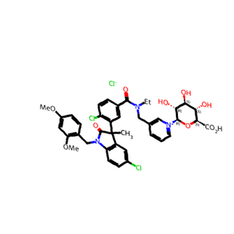 CCN(Cc1ccc[n+]([C@@H]2O[C@H](C(=O)O)[C@@H](O)[C@H](O)[C@H]2O)c1)C(=O)c1ccc(Cl)c(C2(C)C(=O)N(Cc3ccc(OC)cc3OC)c3ccc(Cl)cc32)c1.[Cl-]